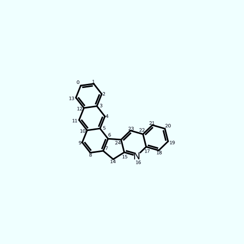 c1ccc2cc3c4c(ccc3cc2c1)Cc1nc2ccccc2cc1-4